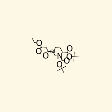 CCOC(=O)CC(=O)[C@H]1CCC(C(=O)OC(C)(C)C)N(C(=O)OC(C)(C)C)C1